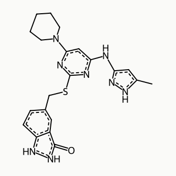 Cc1cc(Nc2cc(N3CCCCC3)nc(SCc3ccc4[nH][nH]c(=O)c4c3)n2)n[nH]1